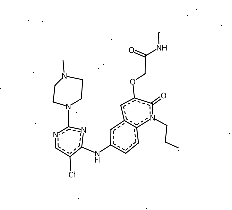 CCCn1c(=O)c(OCC(=O)NC)cc2cc(Nc3nc(N4CCN(C)CC4)ncc3Cl)ccc21